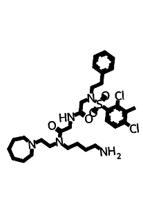 Cc1c(Cl)ccc(S(=O)(=O)N(CCc2ccccc2)CC(=O)NCC(=O)N(CCCCN)CCN2CCCCCC2)c1Cl